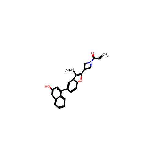 C=CC(=O)N1CC(C2=C(NC(C)=O)C3C=C(c4cc(O)cc5ccccc45)C=CC3O2)C1